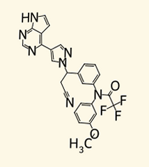 COc1cccc(N(C(=O)C(F)(F)F)c2cccc(C(CC#N)n3cc(-c4ncnc5[nH]ccc45)cn3)c2)c1